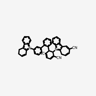 N#CC1=Cc2c(n(C3C(C#N)=CC=C(C#N)C3c3ccccc3-c3cccc(-n4c5c(c6ccccc64)CCC=C5)c3)c3ccccc23)CC=C1